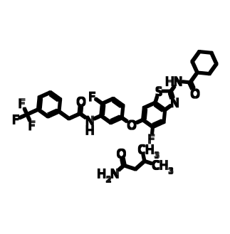 CC(C)CC(N)=O.O=C(Cc1cccc(C(F)(F)F)c1)Nc1cc(Oc2cc3sc(NC(=O)C4CCCCC4)nc3cc2F)ccc1F